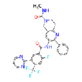 CNC(=O)N1CCc2nc(-c3ccccc3)c(NC(=O)c3cc(-c4ncccn4)c(C(F)(F)F)cc3F)cc2C1